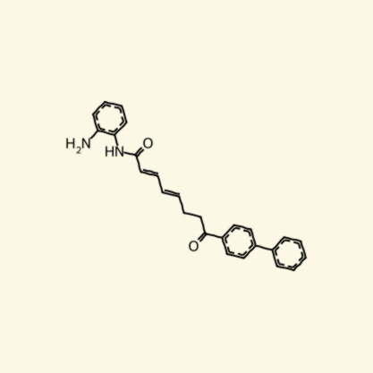 Nc1ccccc1NC(=O)/C=C/C=C/CCC(=O)c1ccc(-c2ccccc2)cc1